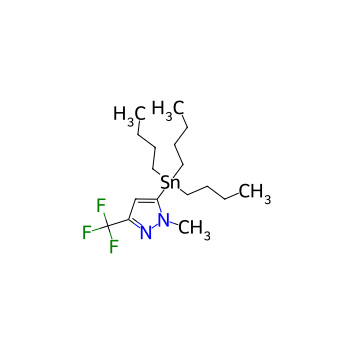 CCC[CH2][Sn]([CH2]CCC)([CH2]CCC)[c]1cc(C(F)(F)F)nn1C